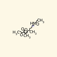 CCC(=O)N/C=C/CCC(C)c1cc(C)c(C(=O)CC)c(=O)o1